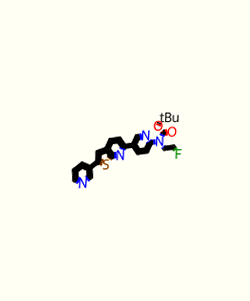 CC(C)(C)OC(=O)N(CCF)c1ccc(-c2ccc3cc(-c4cccnc4)sc3n2)cn1